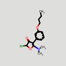 CCCCOc1cccc(C2=C(N(C)C)OC(Br)C2=O)c1